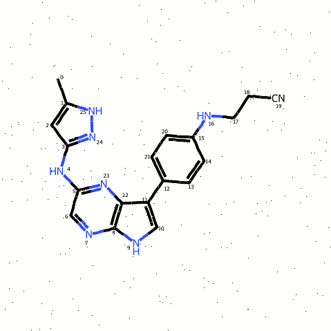 Cc1cc(Nc2cnc3[nH]cc(-c4ccc(NCCC#N)cc4)c3n2)n[nH]1